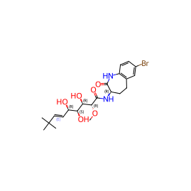 CO[C@@H](C(=O)N[C@@H]1CCc2cc(Br)ccc2NC1=O)[C@H](O)[C@@H](O)[C@H](O)/C=C/C(C)(C)C